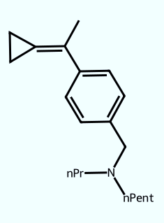 CCCCCN(CCC)Cc1ccc(C(C)=C2CC2)cc1